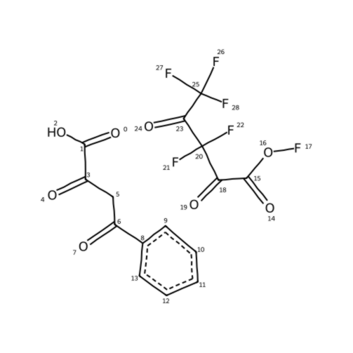 O=C(O)C(=O)CC(=O)c1ccccc1.O=C(OF)C(=O)C(F)(F)C(=O)C(F)(F)F